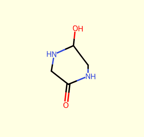 O=C1CNC(O)CN1